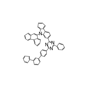 c1ccc(-c2cccc(-c3ccc(-c4nc(-c5ccccc5)nc(-c5ccc6c7ccccc7n(-c7cc8ccccc8c8ccccc78)c6c5)n4)cc3)c2)cc1